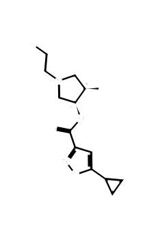 C[C@@H]1CN(CCN)C[C@@H]1NC(=O)c1cc(C2CC2)on1